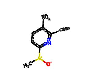 COc1nc([S+](C)[O-])ccc1[N+](=O)[O-]